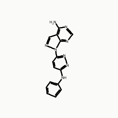 Nc1ncnc2c1cnn2-c1ccc(Nc2ccccc2)nn1